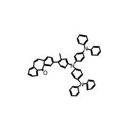 Cc1cc(N(c2ccc(N(c3ccccc3)c3ccccc3)cc2)c2ccc(N(c3ccccc3)c3ccccc3)cc2)ccc1-c1ccc2ccc3ccccc3c(=O)c2c1